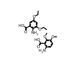 CCOc1cc(OCC)c(N)c(C(=O)O)c1.COc1ccc(N)c(C(=O)O)c1OC